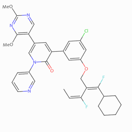 C/C=C(F)\C(COc1cc(Cl)cc(-c2cc(-c3cnc(OC)nc3OC)cn(-c3cccnc3)c2=O)c1)=C(\F)C1CCCCC1